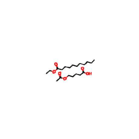 CC(=O)OCCCCC(=O)O.CCCCCCCCCCC(=O)OCC